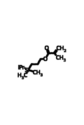 C=C(C)C(=O)OCCC[Si](C)(C)C(C)C